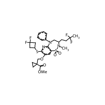 COC(=O)C1(COc2cc3c(nc2SC2CC(F)(F)C2)N(c2ccccc2)CC(CCC(C)(F)F)N(C)S3(=O)=O)CC1